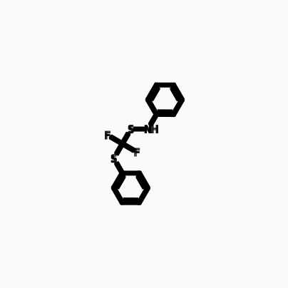 FC(F)(SNc1ccccc1)Sc1ccccc1